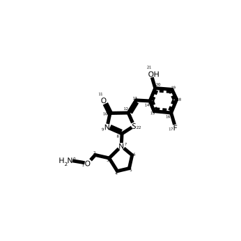 NOCC1CCCN1C1=NC(=O)/C(=C/c2cc(F)ccc2O)S1